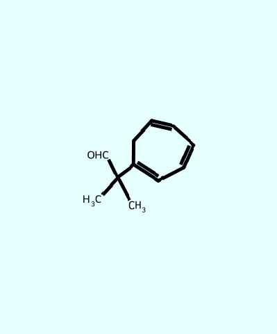 CC(C)(C=O)C1=CC=CC=CC1